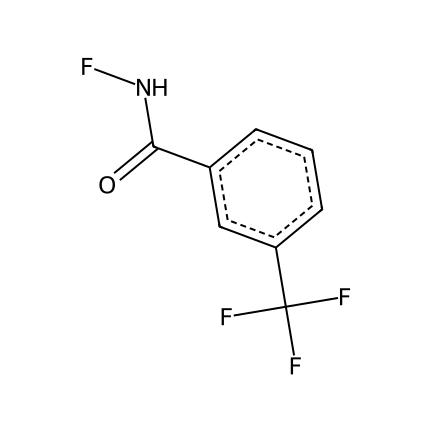 O=C(NF)c1cccc(C(F)(F)F)c1